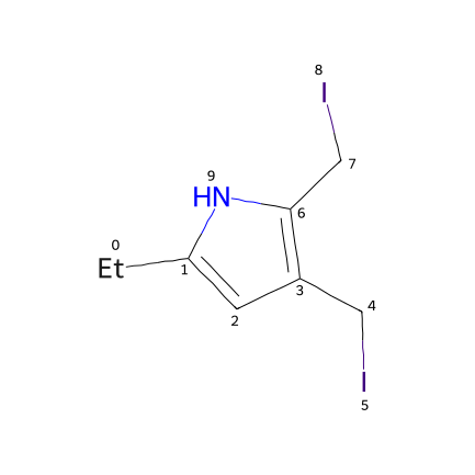 CCc1cc(CI)c(CI)[nH]1